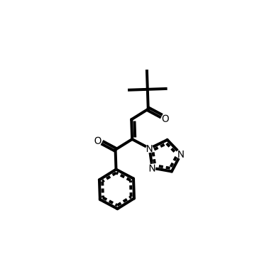 CC(C)(C)C(=O)/C=C(/C(=O)c1ccccc1)n1cncn1